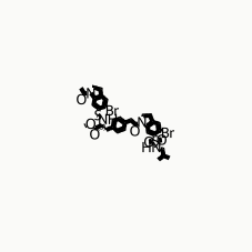 COC(=O)[C@H](Cc1ccc(CC(=O)N2CCc3cc(Br)c(S(=O)(=O)NCC(C)C)cc32)cc1)NSc1cc2c(cc1Br)CCN2C(C)=O